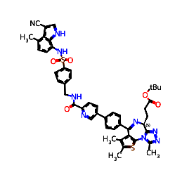 Cc1sc2c(c1C)C(c1ccc(-c3ccc(C(=O)NCc4ccc(S(=O)(=O)Nc5ccc(C)c6c(C#N)c[nH]c56)cc4)nc3)cc1)=N[C@@H](CCC(=O)OC(C)(C)C)c1nnc(C)n1-2